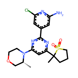 C[C@@H]1COCCN1c1cc(C2(C)CCCS2(=O)=O)nc(-c2cc(N)nc(Cl)c2)n1